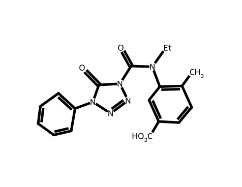 CCN(C(=O)n1nnn(-c2ccccc2)c1=O)c1cc(C(=O)O)ccc1C